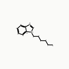 CCCCCCn1cnc2ccccc21